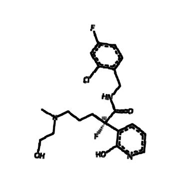 CN(CCO)CCC[C@@](F)(C(=O)NCc1ccc(F)cc1Cl)c1cccnc1O